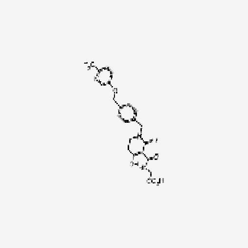 O=C(O)CNC(=O)C1=C(O)CCN(Cc2ccc(COc3ccc(C(F)(F)F)nc3)cc2)C1=O